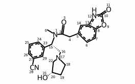 CN(C(=O)Cc1ccc2oc(=O)[nH]c2c1)[C@H](CN1CC[C@H](O)C1)c1cccc(C#N)c1